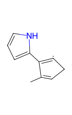 CC1=CC[C]=C1c1ccc[nH]1